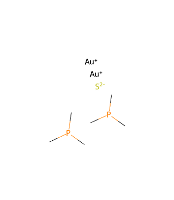 CP(C)C.CP(C)C.[Au+].[Au+].[S-2]